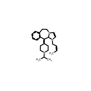 C/C=C\CN1C=CN2CCc3ccccc3C(=C3CCN(C(C)C)CC3)C12